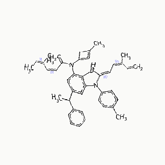 C=C/C(C)=C\C=C1/Bc2c(N(C(=C)/C=C\C(C)=C/C)C3=C=C(C)C3)cc(C(C)c3ccccc3)cc2N1c1ccc(C)cc1